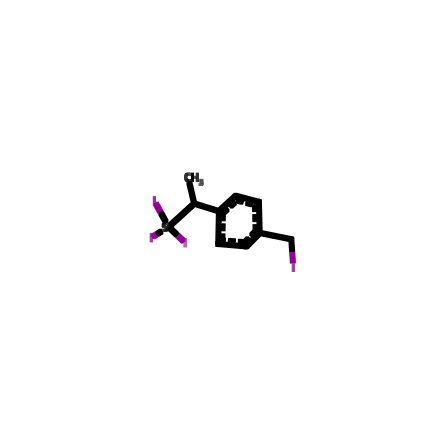 CC(c1ccc(CI)cc1)[Si](I)(I)I